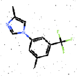 Cc1cc(-n2cnc(C)c2)cc(C(F)(F)F)c1